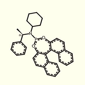 C[C@H](c1ccccc1)N(C1CCCCC1)p1oc2ccc3ccccc3c2c2c(ccc3ccccc32)o1